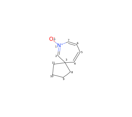 [O-][N+]1=CC2(C=CC=C1)CCCC2